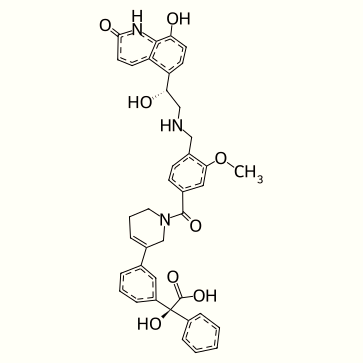 COc1cc(C(=O)N2CCC=C(c3cccc([C@](O)(C(=O)O)c4ccccc4)c3)C2)ccc1CNC[C@H](O)c1ccc(O)c2[nH]c(=O)ccc12